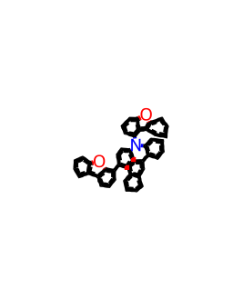 c1ccc(N(c2ccc(-c3cccc4c3oc3ccccc34)cc2)c2cccc3oc4ccccc4c23)c(-c2ccc3ccccc3c2)c1